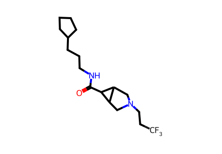 O=C(NCCCC1CCCC1)C1C2CN(CCC(F)(F)F)CC21